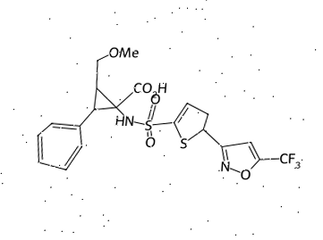 COCC1C(c2ccccc2)C1(NS(=O)(=O)C1=CCC(c2cc(C(F)(F)F)on2)S1)C(=O)O